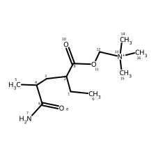 CCC(CC(C)C(N)=O)C(=O)OC[N+](C)(C)C